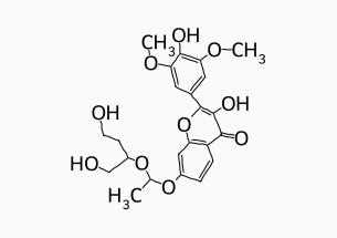 COc1cc(-c2oc3cc(OC(C)OC(CO)CCO)ccc3c(=O)c2O)cc(OC)c1O